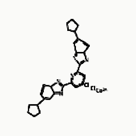 C1=CC2N=C(c3cccc(C4=NC5C=CC(C6CCCC6)=CC5=N4)n3)N=C2C=C1C1CCCC1.[Cl-].[Cl-].[Co+2]